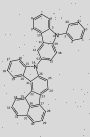 c1ccc(-n2c3ccccc3c3cc(-n4c5ccccc5c5c6c(ccc54)-c4cccc5cccc-6c45)ccc32)cc1